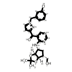 CC1(C)O[C@@H]2[C@@H](CO)C[C@@H](Nc3ncncc3C(=O)c3ccn(Cc4cccc(Cl)c4)n3)[C@@H]2O1